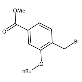 CCCCOc1cc(C(=O)OC)ccc1CBr